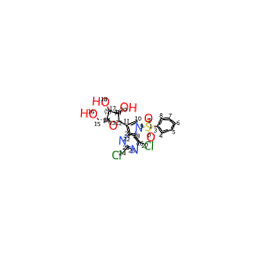 O=S(=O)(c1ccccc1)n1cc(C2O[C@H](CO)[C@@H](O)[C@H]2O)c2nc(Cl)nc(Cl)c21